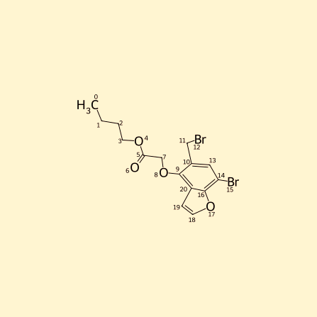 CCCCOC(=O)COc1c(CBr)cc(Br)c2occc12